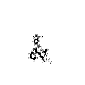 Cc1nc(N)cc(-c2c(Nc3ccc4nc[nH]c4c3)nc3ccccn23)n1